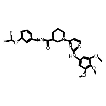 COc1cc(Nc2nccc(N3CCCC(C(=O)NCc4cccc(OC(F)F)c4)C3)n2)cc(OC)c1OC